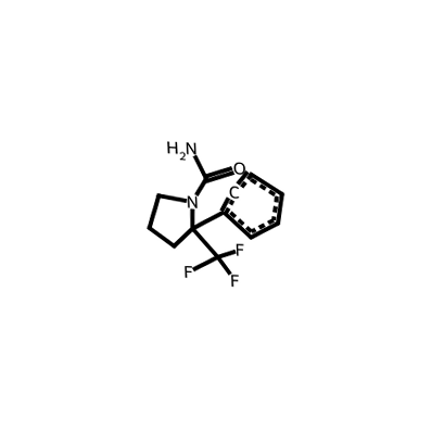 NC(=O)N1CCCC1(c1ccccc1)C(F)(F)F